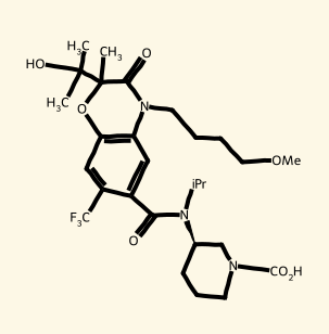 COCCCCN1C(=O)C(C)(C(C)(C)O)Oc2cc(C(F)(F)F)c(C(=O)N(C(C)C)[C@@H]3CCCN(C(=O)O)C3)cc21